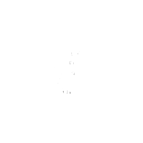 CC[Si](CC)(c1c(C)ccc2c1Cc1ccccc1-2)c1c(C)ccc2c1Cc1ccccc1-2